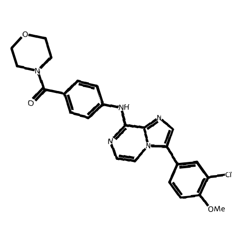 COc1ccc(-c2cnc3c(Nc4ccc(C(=O)N5CCOCC5)cc4)nccn23)cc1Cl